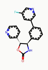 O=C1N[C@H](c2cccc(-c3cncc(F)c3)c2)[C@@H](c2cccnc2)O1